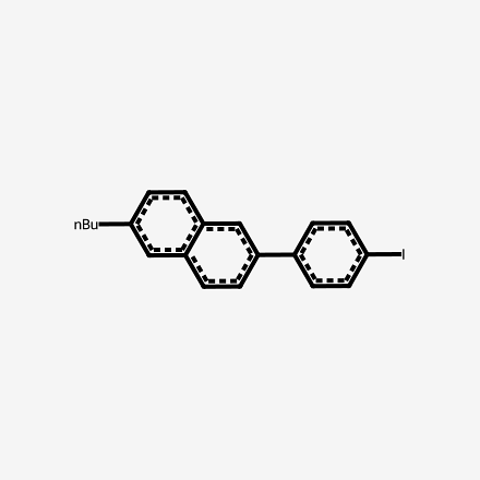 CCCCc1ccc2cc(-c3ccc(I)cc3)ccc2c1